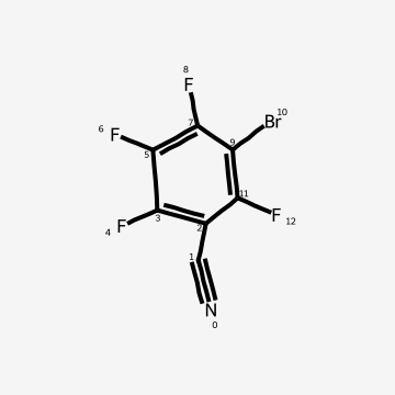 N#Cc1c(F)c(F)c(F)c(Br)c1F